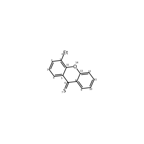 CCc1cccc2c(=S)c3ccccc3oc12